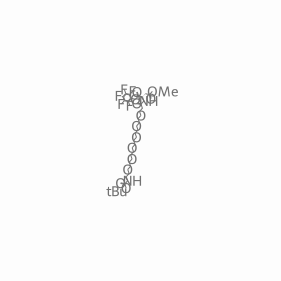 COC(=O)C[C@H](NC(=O)CCOCCOCCOCCOCCOCCOCCNC(=O)OC(C)(C)C)C(=O)Oc1c(F)c(F)c(F)c(F)c1F